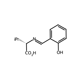 CC(C)[C@H](/N=C/c1ccccc1O)C(=O)O